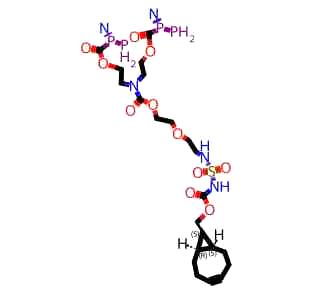 N#P(P)C(=O)OCCN(CCOC(=O)P(#N)P)C(=O)OCCOCCNS(=O)(=O)NC(=O)OC[C@@H]1[C@@H]2CCC#CCC[C@@H]21